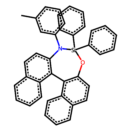 Cc1cccc(N2c3ccc4ccccc4c3-c3c(ccc4ccccc34)O[Si]2(c2ccccc2)c2ccccc2)c1